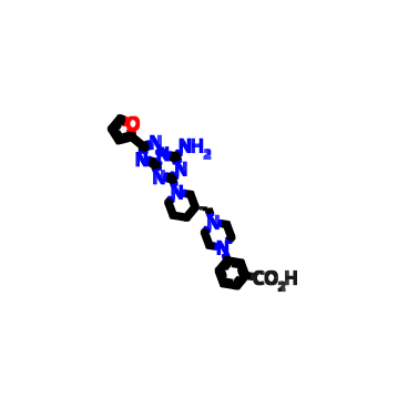 Nc1nc(N2CCC[C@@H](CN3CCN(c4cccc(C(=O)O)c4)CC3)C2)nc2nc(-c3ccco3)nn12